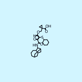 O=C(NC1C2CC3CCCC1C(C3)C2)c1onc(OCC2(C(=O)O)CC2)c1SC1CCCCC1